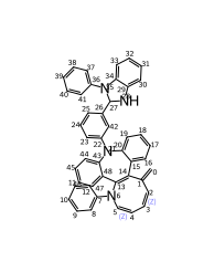 C=C1/C=C\C=C/N(c2ccccc2)C2=C1c1ccccc1N(c1cccc(C3Nc4ccccc4N3c3ccccc3)c1)c1ccccc12